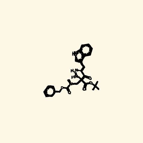 CNC(CN(C)C(=O)OCc1ccccc1)(C(=O)OC(C)(C)C)C(=O)[C@@H](N)Cc1c[nH]c2ccccc12